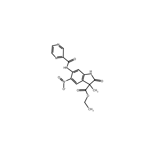 CCOC(=O)C1(C)C(=O)Nc2cc(NC(=O)c3cnccn3)c([N+](=O)[O-])cc21